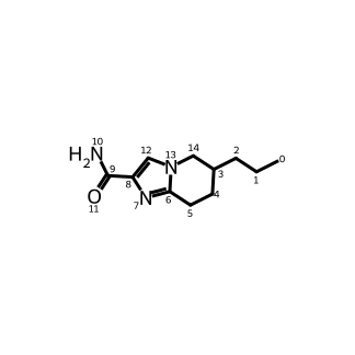 CCCC1CCc2nc(C(N)=O)cn2C1